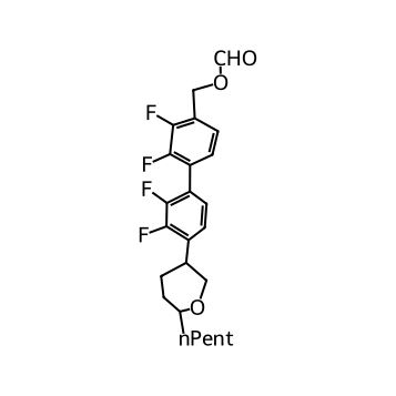 CCCCCC1CCC(c2ccc(-c3ccc(COC=O)c(F)c3F)c(F)c2F)CO1